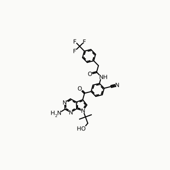 CC(C)(CO)n1cc(C(=O)c2ccc(C#N)c(NC(=O)Cc3ccc(C(F)(F)F)cc3)c2)c2cnc(N)nc21